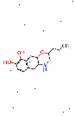 CCCC1CNC2Cc3ccc(O)c(O)c3CC2O1